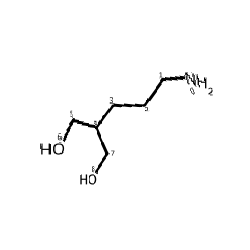 NCCCC(CO)CO